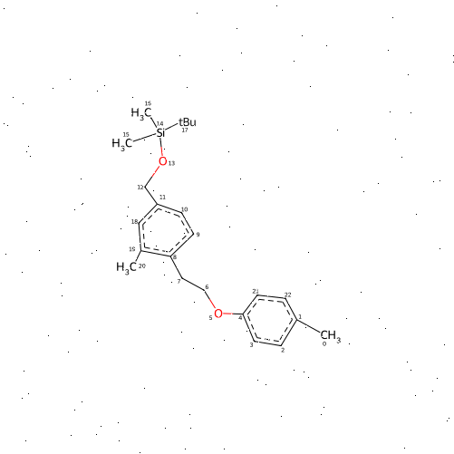 Cc1ccc(OCCc2ccc(CO[Si](C)(C)C(C)(C)C)cc2C)cc1